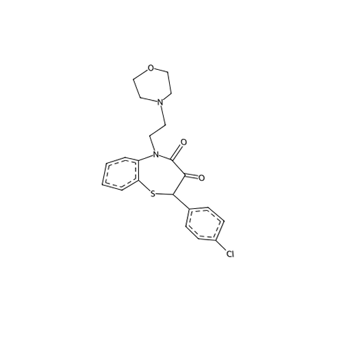 O=C1C(=O)N(CCN2CCOCC2)c2ccccc2SC1c1ccc(Cl)cc1